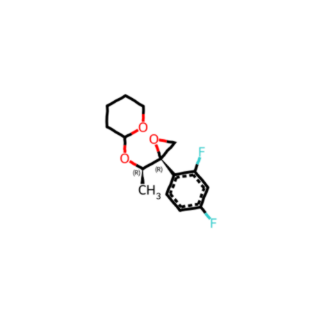 C[C@@H](OC1CCCCO1)[C@@]1(c2ccc(F)cc2F)CO1